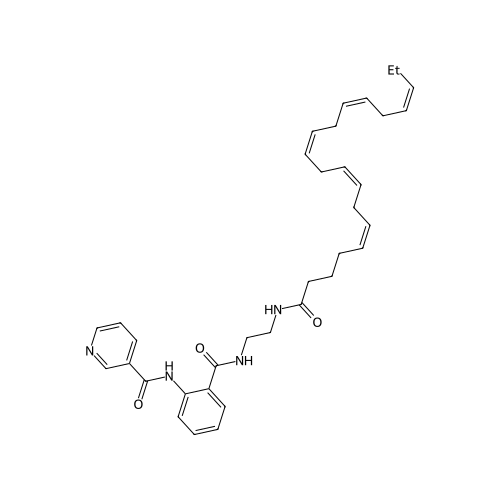 CC/C=C\C/C=C\C/C=C\C/C=C\C/C=C\CCCC(=O)NCCNC(=O)c1ccccc1NC(=O)c1cccnc1